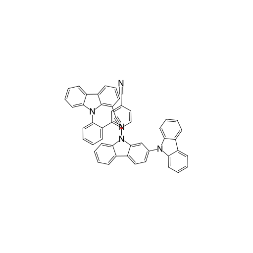 N#Cc1ccc(-n2c3ccccc3c3ccc(-n4c5ccccc5c5ccccc54)cc32)c(-c2ccccc2-n2c3ccccc3c3cccc(C#N)c32)c1